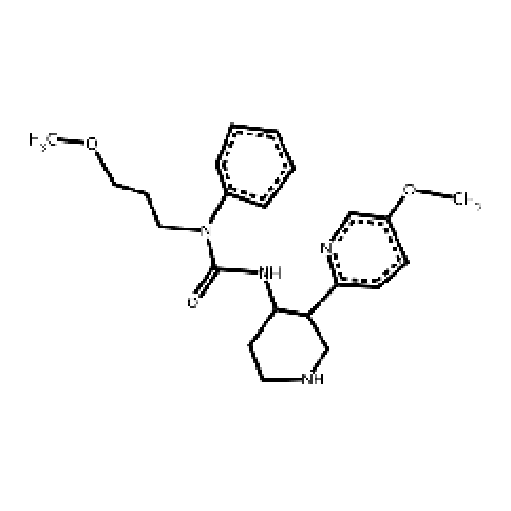 COCCCN(C(=O)NC1CCNCC1c1ccc(OC)cn1)c1ccccc1